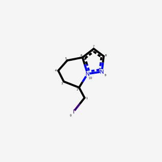 ICC1CCCc2ccnn21